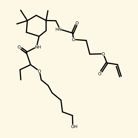 C=CC(=O)OCCOC(=O)NCC1(C)CC(NC(=O)C(CC)OCCCCCCO)CC(C)(C)C1